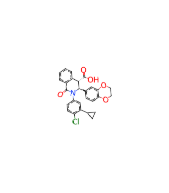 O=C(O)[C@H]1c2ccccc2C(=O)N(c2ccc(Cl)c(C3CC3)c2)[C@@H]1c1ccc2c(c1)OCCO2